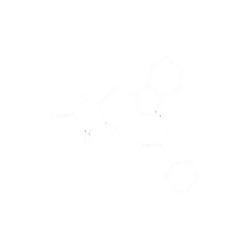 O=C1NC(=O)C(=Cc2cn(CC(=O)c3ccccc3)c3ccccc23)S1